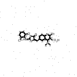 CCc1nc2ccc(C=C3SC(Nc4c(Cl)cccc4Cl)=NC3=O)cc2c(N(C)C)c1C(=O)O